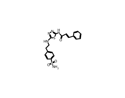 NS(=O)(=O)c1ccc(CCNc2nnc(NC(=O)/C=C/c3ccccc3)s2)cc1